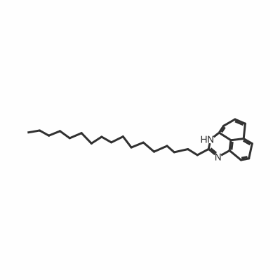 CCCCCCCCCCCCCCCCCC1=Nc2cccc3cccc(c23)N1